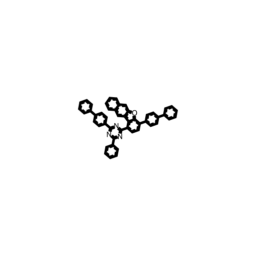 c1ccc(-c2ccc(-c3nc(-c4ccccc4)nc(-c4ccc(-c5ccc(-c6ccccc6)cc5)c5oc6cc7ccccc7cc6c45)n3)cc2)cc1